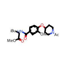 CCC(C)C(NC(=O)c1ccc(OC2CCN(C(C)=O)CC2)c(OC)c1)C(=O)OC